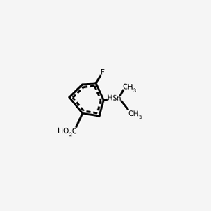 [CH3][SnH]([CH3])[c]1cc(C(=O)O)ccc1F